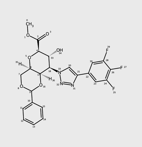 COC(=O)[C@@H]1O[C@@H]2COC(c3ccccc3)O[C@@H]2[C@H](n2cc(-c3cc(F)c(F)c(F)c3)nn2)[C@H]1O